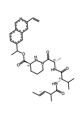 C=Cc1cc2cc(C(C)OC(=O)[C@@H]3CCCN(C(=O)[C@H](C)NC(=O)[C@@H](NC(=O)C(C)/C=C/C)C(C)C)N3)ccc2cn1